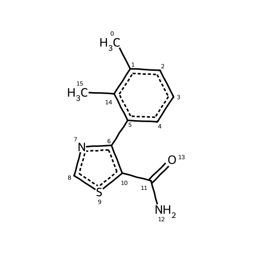 Cc1cccc(-c2ncsc2C(N)=O)c1C